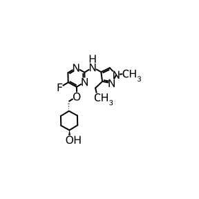 CCc1nn(C)cc1Nc1ncc(F)c(OC[C@H]2CC[C@H](O)CC2)n1